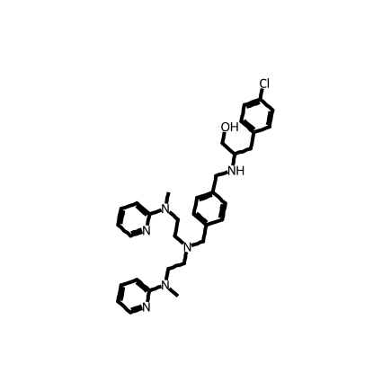 CN(CCN(CCN(C)c1ccccn1)Cc1ccc(CNC(CO)Cc2ccc(Cl)cc2)cc1)c1ccccn1